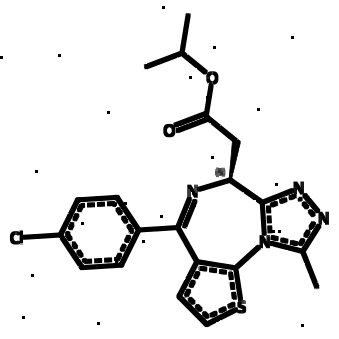 Cc1nnc2n1-c1sccc1C(c1ccc(Cl)cc1)=N[C@H]2CC(=O)OC(C)C